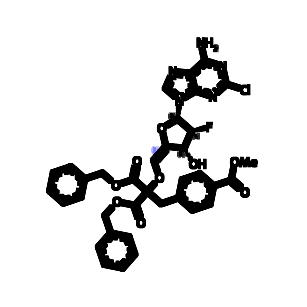 COC(=O)c1ccc(CC(O/C=C2/O[C@@H](n3cnc4c(N)nc(Cl)nc43)[C@@H](F)[C@@H]2O)(C(=O)OCc2ccccc2)C(=O)OCc2ccccc2)cc1